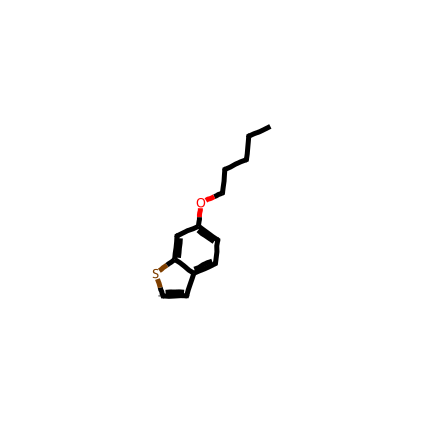 CCCCCOc1ccc2c[c]sc2c1